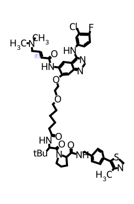 Cc1ncsc1-c1ccc(CNC(=O)C2CCCN2C(=O)C(NC(=O)CCCCCOCCOc2cc3ncnc(Nc4ccc(F)c(Cl)c4)c3cc2NC(=O)/C=C/CN(C)C)C(C)(C)C)cc1